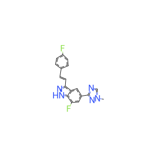 Cn1cnc(-c2cc(F)c3[nH]nc(C=Cc4ccc(F)cc4)c3c2)n1